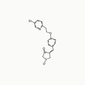 CCc1ccc(CCOc2ccc(C=C3C[S+]([O-])C[N+]3=O)cc2)nc1